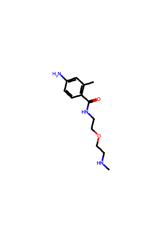 CNCCOCCNC(=O)c1ccc(N)cc1C